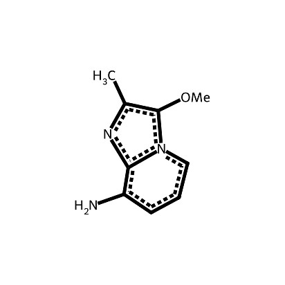 COc1c(C)nc2c(N)cccn12